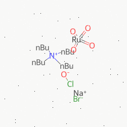 CCCC[N+](CCCC)(CCCC)CCCC.[Br-].[Na+].[O-]Cl.[O]=[Ru](=[O])(=[O])=[O]